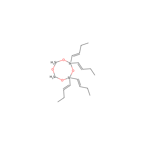 CCC=C[Si]1(C=CCC)O[SiH2]O[SiH2]O[Si](C=CCC)(C=CCC)O1